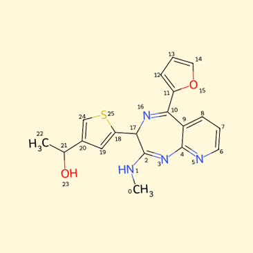 CNC1=Nc2ncccc2C(c2ccco2)=NC1c1cc(C(C)O)cs1